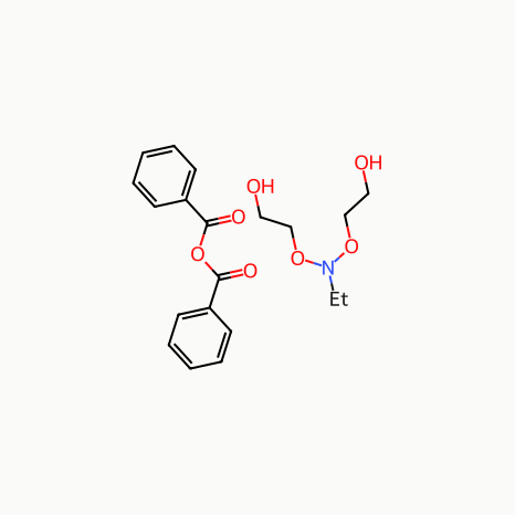 CCN(OCCO)OCCO.O=C(OC(=O)c1ccccc1)c1ccccc1